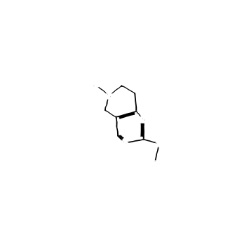 CCOc1ncc2c(n1)CCN(C(C)(C)C)C2